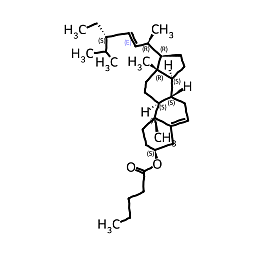 CCCCC(=O)O[C@H]1CC[C@@]2(C)C(=CC[C@H]3[C@@H]4CC[C@H]([C@H](C)/C=C/[C@@H](CC)C(C)C)[C@@]4(C)CC[C@@H]32)C1